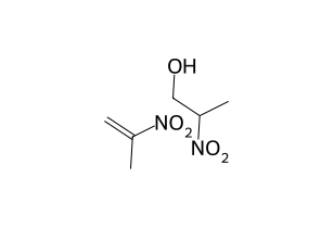 C=C(C)[N+](=O)[O-].CC(CO)[N+](=O)[O-]